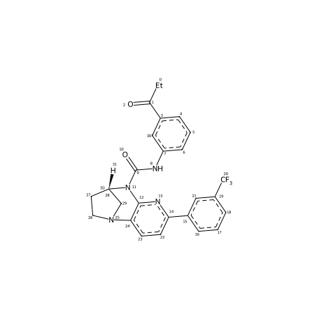 CCC(=O)c1cccc(NC(=O)N2c3nc(-c4cccc(C(F)(F)F)c4)ccc3N3CC[C@H]2C3)c1